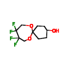 OC1CCC2(CC1)OCC(F)(F)C(F)(F)CO2